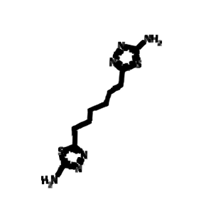 Nc1nnc(CCCCCCc2nnc(N)s2)s1